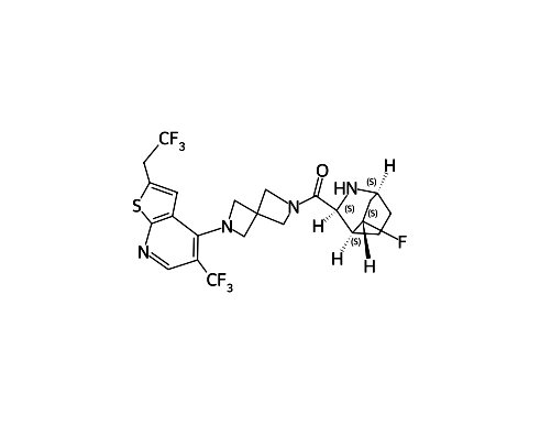 O=C([C@H]1N[C@H]2CC[C@@H]1[C@@H](F)C2)N1CC2(C1)CN(c1c(C(F)(F)F)cnc3sc(CC(F)(F)F)cc13)C2